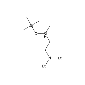 CCN(CC)CC[SiH](C)O[Si](C)(C)C